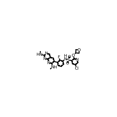 CNc1ncc2cc(-c3cccc(NS(=O)(=O)c4cc(Cl)cnc4OC4COC4)c3F)c(NC)nc2n1